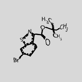 CC(C)(C)OC(=O)c1nsc2cc(Br)ccc12